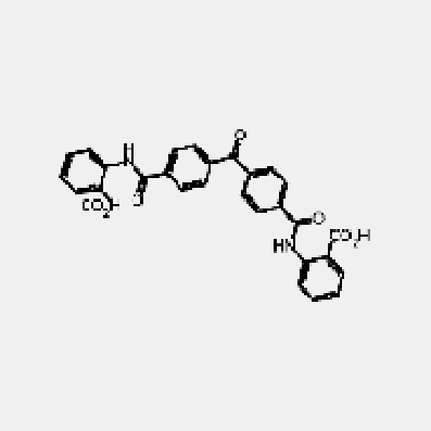 O=C(Nc1ccccc1C(=O)O)c1ccc(C(=O)c2ccc(C(=O)Nc3ccccc3C(=O)O)cc2)cc1